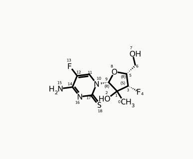 CC1(O)[C@@H](F)[C@@H](CO)O[C@H]1n1cc(F)c(N)nc1=S